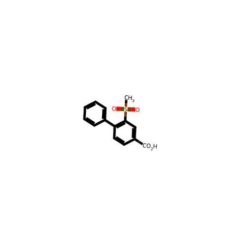 CS(=O)(=O)c1cc(C(=O)O)ccc1-c1ccccc1